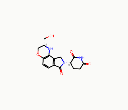 O=C1CC[C@H](N2Cc3c(ccc4c3N[C@@H](CO)CO4)C2=O)C(=O)N1